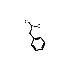 ClP(Cl)Cc1ccccc1